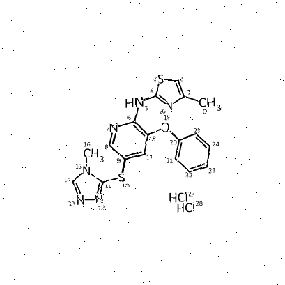 Cc1csc(Nc2ncc(Sc3nncn3C)cc2Oc2ccccc2)n1.Cl.Cl